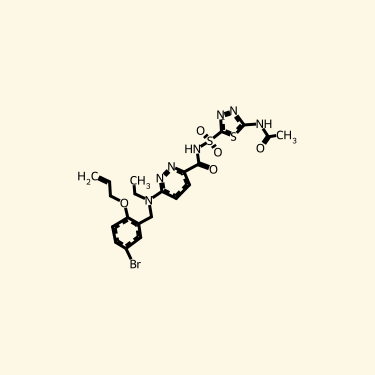 C=CCOc1ccc(Br)cc1CN(CC)c1ccc(C(=O)NS(=O)(=O)c2nnc(NC(C)=O)s2)nn1